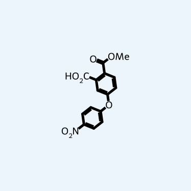 COC(=O)c1ccc(Oc2ccc([N+](=O)[O-])cc2)cc1C(=O)O